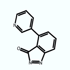 O=C1N=Nc2cccc(-c3cccnc3)c21